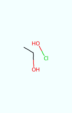 CCO.OCl